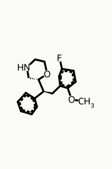 COc1ccc(F)cc1C[C@@H](c1ccccc1)[C@@H]1CNCCO1